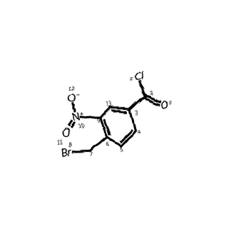 O=C(Cl)c1ccc(CBr)c([N+](=O)[O-])c1